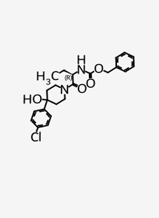 CC[C@@H](NC(=O)OCc1ccccc1)C(=O)N1CCC(O)(c2ccc(Cl)cc2)CC1